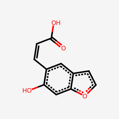 O=C(O)/C=C\c1cc2ccoc2cc1O